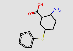 NC1CCC(Sc2ccccc2)CC1C(=O)O